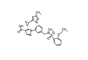 CCOc1ccccc1S(=O)(=O)N(C)Cc1cccc(-n2ncc(C(=O)O)c2[C@@H]2C[C@H]2c2cn(C)nn2)c1